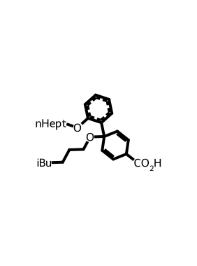 CCCCCCCOc1ccccc1C1(OCCCC(C)CC)C=CC(C(=O)O)C=C1